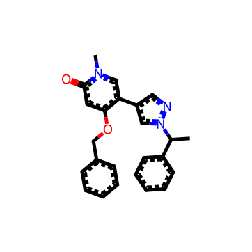 CC(c1ccccc1)n1cc(-c2cn(C)c(=O)cc2OCc2ccccc2)cn1